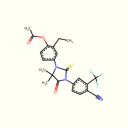 CCc1cc(N2C(=S)N(c3ccc(C#N)c(C(F)(F)F)c3)C(=O)C2(C)C)ccc1OC(C)=O